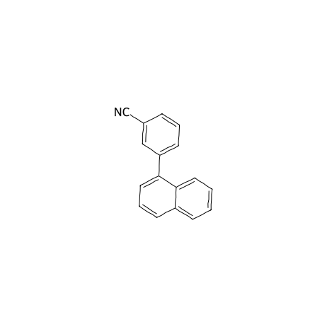 N#Cc1cccc(-c2cccc3ccccc23)c1